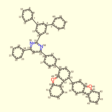 c1ccc(-c2cc(-c3ccccc3)cc(-c3nc(-c4ccccc4)cc(-c4ccc(-c5ccc(-c6ccc7c(c6)oc6ccccc67)c6c5oc5ccccc56)cc4)n3)c2)cc1